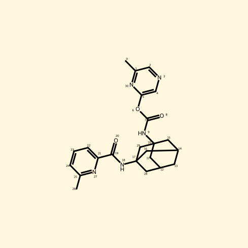 Cc1cncc(OC(=O)NC23CC4CC(C2)CC(NC(=O)c2cccc(C)n2)(C4)C3)n1